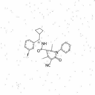 Cc1c(C(=O)N[C@H](c2cccc(F)c2)C2CCC2)c(C)n(-c2ccccc2)c(=O)c1C#N